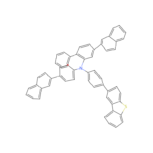 c1ccc(-c2ccc(-c3ccc4ccccc4c3)cc2N(c2ccc(-c3ccc4ccccc4c3)cc2)c2ccc(-c3ccc4sc5ccccc5c4c3)cc2)cc1